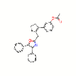 CC(=O)Oc1cccc(C2=C(Cc3nc(-c4ccccc4)c(-c4ccccc4)o3)CCC2)c1